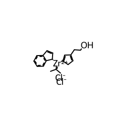 C[C](C)=[Zr+2]([C]1=CC(CCO)=CC1)[CH]1C=Cc2ccccc21.[Cl-].[Cl-]